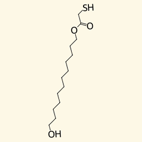 O=C(CS)OCCCCCCCCCCCCO